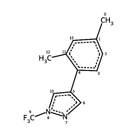 Cc1ccc(-c2cnn(C(F)(F)F)c2)c(C)c1